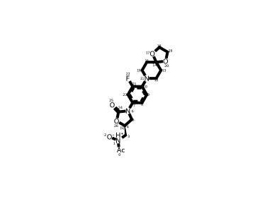 CC(=O)[NH+]([O-])C[C@@H]1CN(c2ccc(N3CCC4(CC3)OCCO4)c(F)c2)C(=O)O1